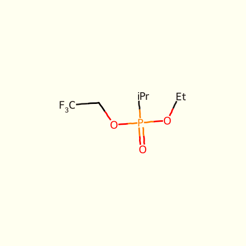 CCOP(=O)(OCC(F)(F)F)C(C)C